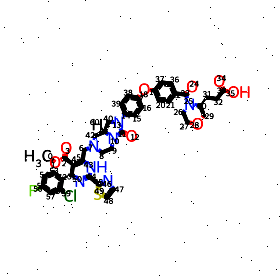 COC(=O)C1=C(CN2CCN3C(=O)N(c4ccc(Oc5ccc(C(=O)N6CCOC[C@@H]6CCC(=O)O)cc5)cc4)C[C@@H]3C2)NC(c2nccs2)=N[C@H]1c1ccc(F)cc1Cl